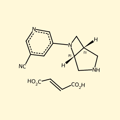 N#Cc1cncc(N2C[C@@H]3CNC[C@@H]32)c1.O=C(O)C=CC(=O)O